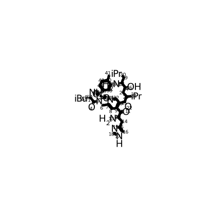 CC[C@H](C)[C@H](N)C(=O)N(Cc1cc(C(=O)[C@@H](N)Cc2c[nH]cn2)c(C(=O)C(C[C@H](O)[C@@H](N)CC(C)C)C(C)C)cn1)S(=O)(=O)c1ccc(C)cc1